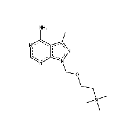 C[Si](C)(C)CCOCn1nc(I)c2c(N)ncnc21